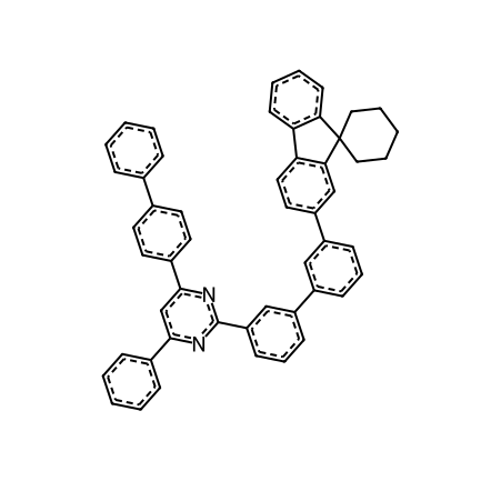 c1ccc(-c2ccc(-c3cc(-c4ccccc4)nc(-c4cccc(-c5cccc(-c6ccc7c(c6)C6(CCCCC6)c6ccccc6-7)c5)c4)n3)cc2)cc1